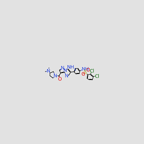 CN(C)C1CCN(C(=O)c2cnn3c(N)c(-c4ccc(NS(=O)(=O)c5cccc(Cl)c5Cl)cc4)cnc23)C1